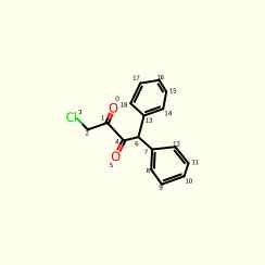 O=C(CCl)C(=O)C(c1ccccc1)c1ccccc1